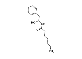 CCCCCCC(=S)NC(O)Cc1ccccc1